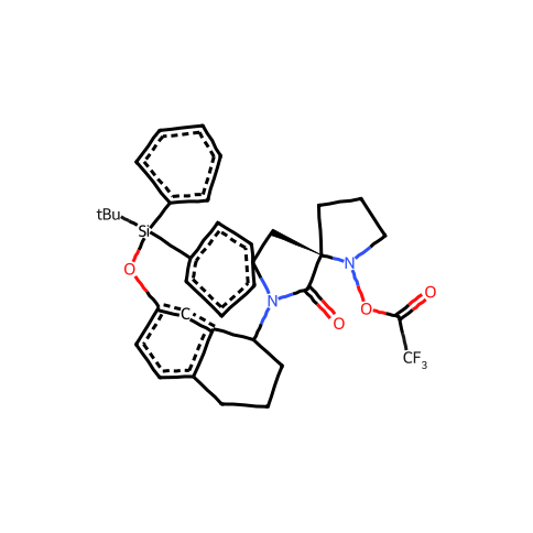 CC(C)(C)[Si](Oc1ccc2c(c1)C(N1CC[C@]3(CCCN3OC(=O)C(F)(F)F)C1=O)CCC2)(c1ccccc1)c1ccccc1